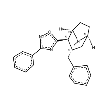 CN1[C@H]2CC[C@@H]1[C@H](c1nc(-c3ccccc3)no1)[C@@H](Cc1ccccc1)C2